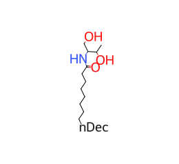 CCCCCCCCCCCCCCCCCC(=O)NC(CO)C(C)O